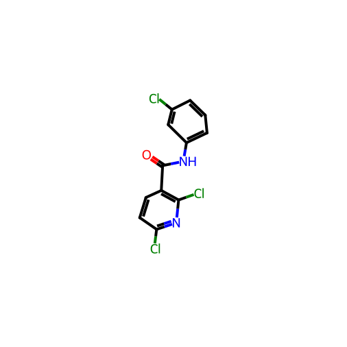 O=C(Nc1cccc(Cl)c1)c1ccc(Cl)nc1Cl